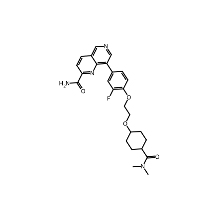 CN(C)C(=O)C1CCC(OCCOc2ccc(-c3cncc4ccc(C(N)=O)nc34)cc2F)CC1